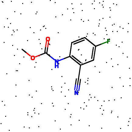 COC(=O)Nc1ccc(F)cc1C#N